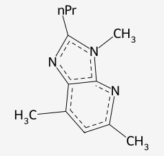 CCCc1nc2c(C)cc(C)nc2n1C